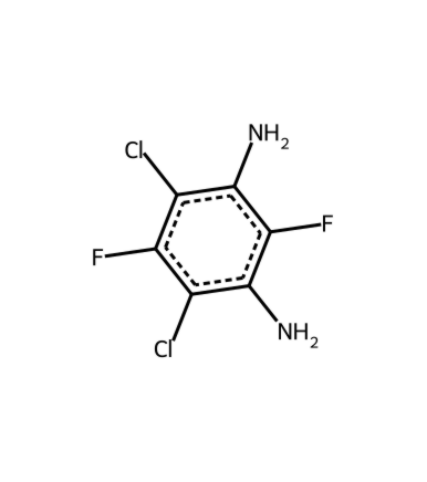 Nc1c(F)c(N)c(Cl)c(F)c1Cl